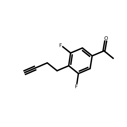 C#CCCc1c(F)cc(C(C)=O)cc1F